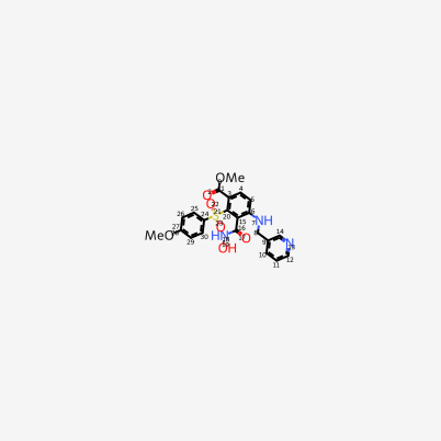 COC(=O)c1ccc(NCc2cccnc2)c(C(=O)NO)c1S(=O)(=O)c1ccc(OC)cc1